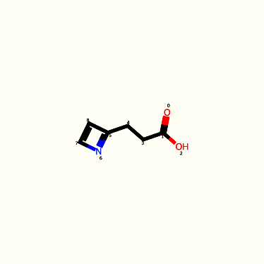 O=C(O)CCC1=NC=C1